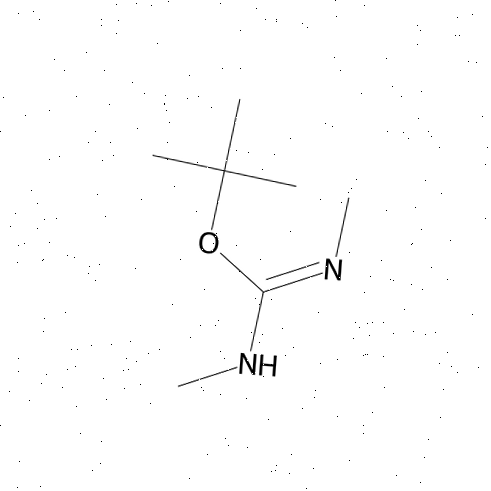 C/N=C(/NC)OC(C)(C)C